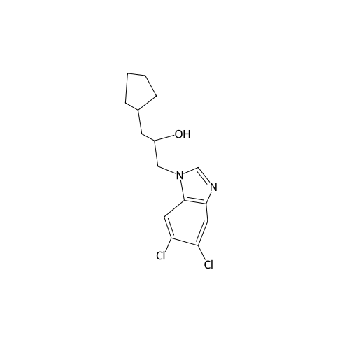 OC(CC1CCCC1)Cn1cnc2cc(Cl)c(Cl)cc21